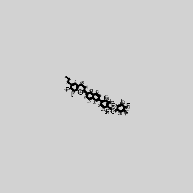 CCCc1cc2c(c(F)c1F)OC(c1ccc3cc(-c4ccc(C(F)(F)Oc5cc(F)c(F)c(F)c5)c(F)c4F)ccc3c1)CC2